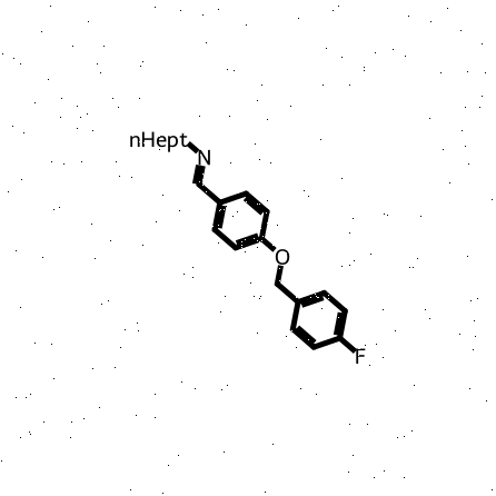 CCCCCCCN=Cc1ccc(OCc2ccc(F)cc2)cc1